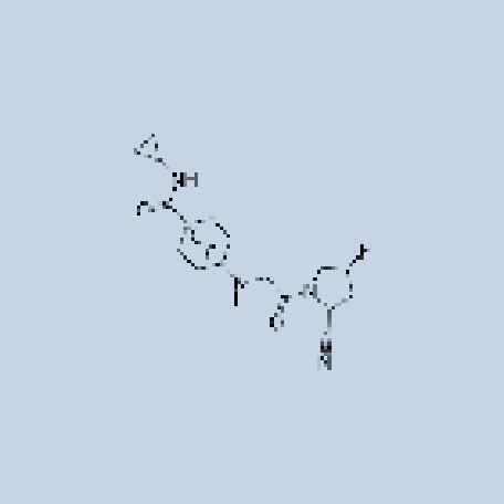 N#C[C@@H]1C[C@H](F)CN1C(=O)CNC12CCC(C(=O)NC3CC3)(CC1)CC2